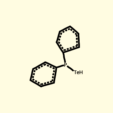 [TeH]P(c1ccccc1)c1ccccc1